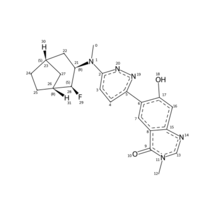 CN(c1ccc(-c2cc3c(=O)n(C)cnc3cc2O)nn1)[C@@H]1C[C@H]2CC[C@H](C2)[C@@H]1F